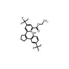 CCOC(=O)c1cc(C(F)(F)F)cc(C2=C(c3cc(C(F)(F)F)ccc3O)CCC2)n1